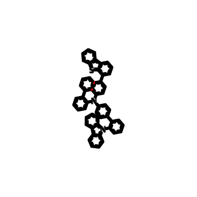 c1ccc(-c2ccccc2N(c2ccc(-c3ccccc3-n3c4ccccc4c4ccccc43)cc2)c2ccc(-c3cccc4c3sc3ccccc34)cc2)cc1